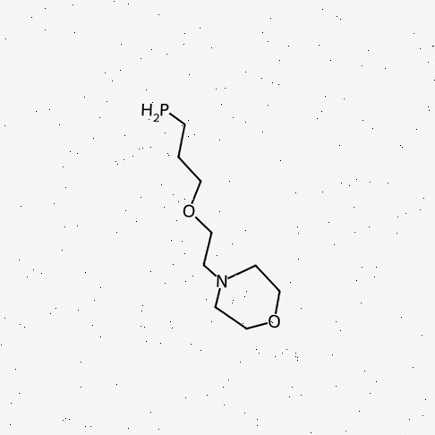 PCCCOCCN1CCOCC1